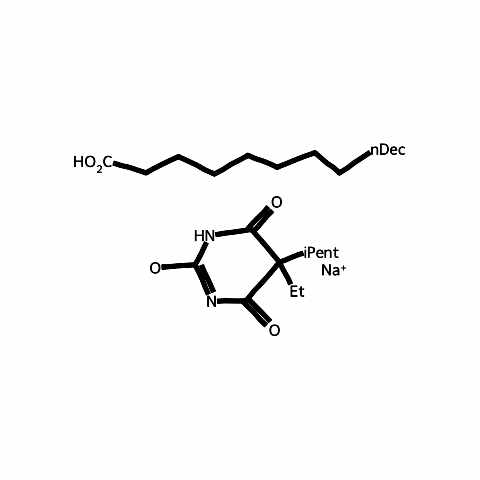 CCCC(C)C1(CC)C(=O)N=C([O-])NC1=O.CCCCCCCCCCCCCCCCCC(=O)O.[Na+]